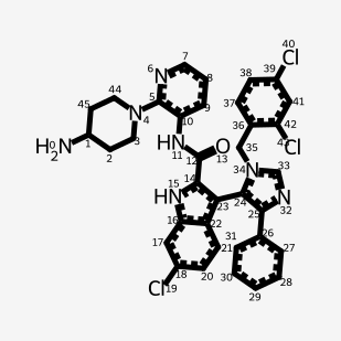 NC1CCN(c2ncccc2NC(=O)c2[nH]c3cc(Cl)ccc3c2-c2c(-c3ccccc3)ncn2Cc2ccc(Cl)cc2Cl)CC1